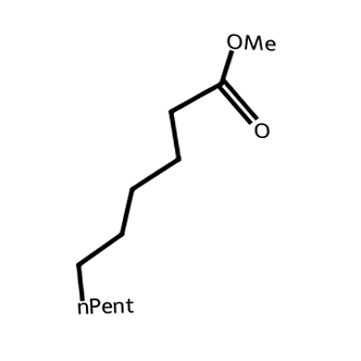 CCCCCCCCCCC(=O)OC